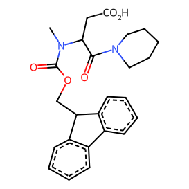 CN(C(=O)OCC1c2ccccc2-c2ccccc21)C(CC(=O)O)C(=O)N1CCCCC1